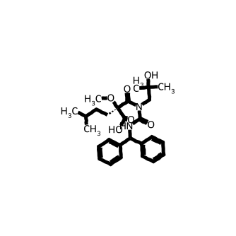 CO[C@](CCC(C)C)(C(=O)O)C(=O)N(CC(C)(C)O)C(=O)NC(c1ccccc1)c1ccccc1